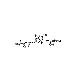 CCCCC[C@H](O)/C=C/[C@@H]1[C@H]2CC(CCNCC(=O)N(C)C(C)(C)C)=C[C@H]2C[C@H]1O